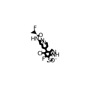 C[S+]([O-])c1c(F)c(Cl)c(-c2ccn3nc(NC(=O)[C@@H]4C[C@@H]4F)cc3c2)c2cn[nH]c12